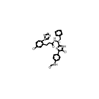 O=CNc1ccc(-c2nc([C@H](Cc3ccccc3)NC(=O)CCc3cc(Cl)ccc3-n3cnnn3)[nH]c2Cl)cc1